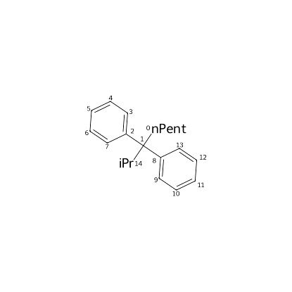 CCCCCC(c1ccccc1)(c1ccccc1)C(C)C